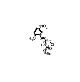 Cc1ccc([N+](=O)[O-])cc1/C=C/[C@H](CCl)NC(=O)OC(C)(C)C